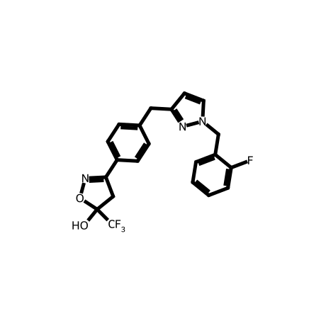 OC1(C(F)(F)F)CC(c2ccc(Cc3ccn(Cc4ccccc4F)n3)cc2)=NO1